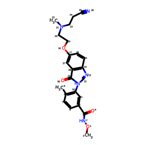 CONC(=O)c1ccc(C)c(-n2cnc3ccc(OCCN(C)CCC#N)cc3c2=O)c1